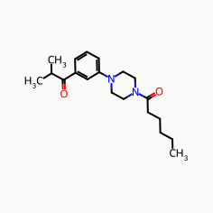 CCCCCC(=O)N1CCN(c2cccc(C(=O)C(C)C)c2)CC1